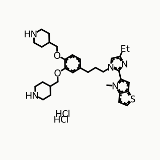 CCc1cn(CCCc2ccc(OCC3CCNCC3)c(OCC3CCNCC3)c2)c(-c2cc3sccc3n2C)n1.Cl.Cl